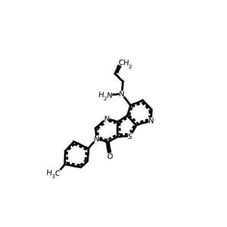 C=CCN(N)c1ccnc2sc3c(=O)n(-c4ccc(C)cc4)cnc3c12